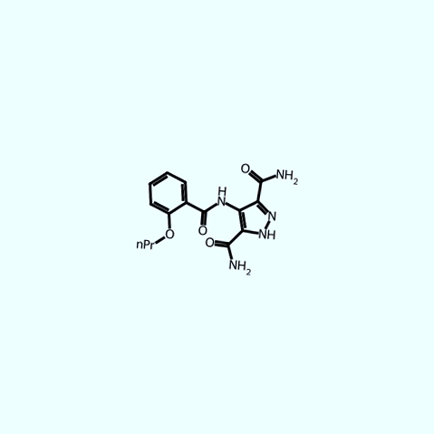 CCCOc1ccccc1C(=O)Nc1c(C(N)=O)n[nH]c1C(N)=O